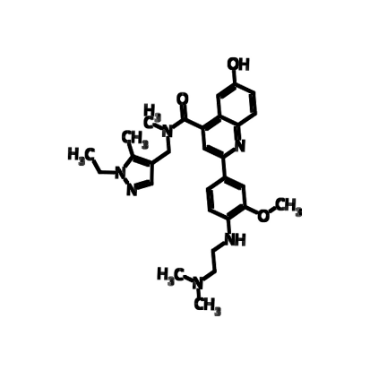 CCn1ncc(CN(C)C(=O)c2cc(-c3ccc(NCCN(C)C)c(OC)c3)nc3ccc(O)cc23)c1C